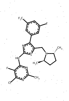 Cc1nc(Cl)c(F)c(Nc2nc(-c3cc(F)cc(C(F)(F)F)c3)c(CN3[C@H](C)CC[C@H]3C)s2)n1